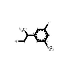 C[C](CF)c1cc(I)cc([N+](=O)[O-])c1